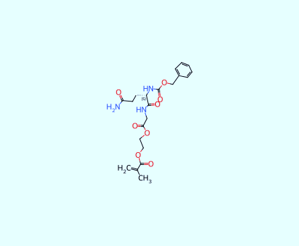 C=C(C)C(=O)OCCOC(=O)CNC(=O)[C@H](CCC(N)=O)NC(=O)OCc1ccccc1